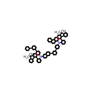 CC1(C)c2ccccc2-c2c(-c3ccccc3N(c3ccc(-c4cccc(-c5ccccc5)c4)cc3)c3ccc4cc(-c5cccc(-c6ccc(N(c7ccccc7-c7cccc8c7-c7ccccc7C8(C)C)c7cccc8c7ccc7ccccc78)cc6)c5)ccc4c3)cccc21